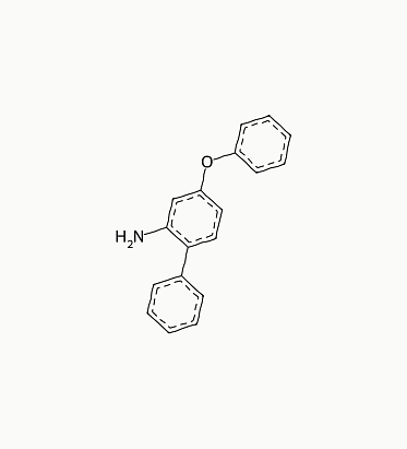 Nc1cc(Oc2ccccc2)ccc1-c1ccccc1